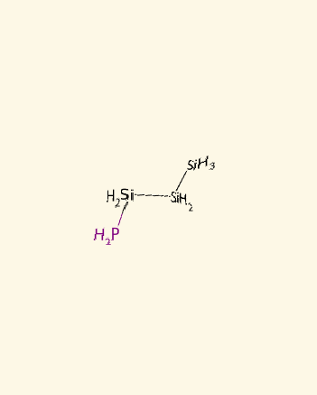 [SiH3][SiH2][SiH2]P